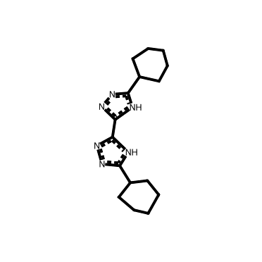 C1CCC(c2nnc(-c3nnc(C4CCCCC4)[nH]3)[nH]2)CC1